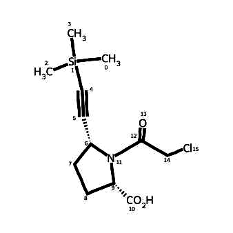 C[Si](C)(C)C#C[C@H]1CC[C@@H](C(=O)O)N1C(=O)CCl